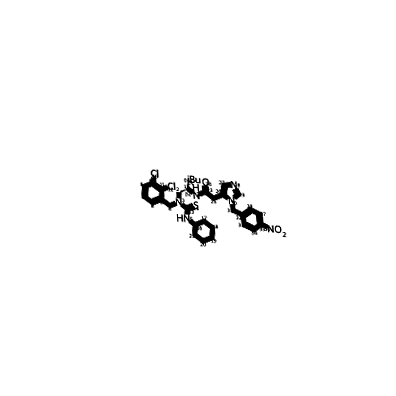 CC[C@H](C)[C@@H](CN(Cc1cccc(Cl)c1Cl)C(=S)NC1CCCCC1)NC(=O)Cc1cncn1Cc1ccc([N+](=O)[O-])cc1